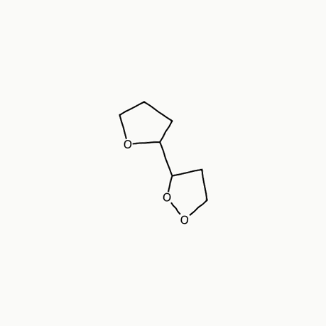 C1COC(C2CCOO2)C1